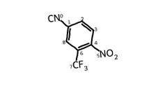 [C-]#[N+]c1ccc([N+](=O)[O-])c(C(F)(F)F)c1